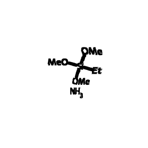 CC[Si](OC)(OC)OC.N